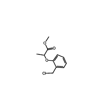 COC(=O)C(C)Oc1ccccc1CCl